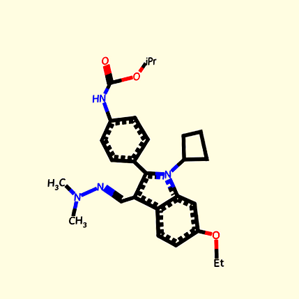 CCOc1ccc2c(C=NN(C)C)c(-c3ccc(NC(=O)OC(C)C)cc3)n(C3CCC3)c2c1